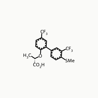 CSc1ccc(-c2cc(C(F)(F)F)ccc2O[C@@H](C)C(=O)O)cc1C(F)(F)F